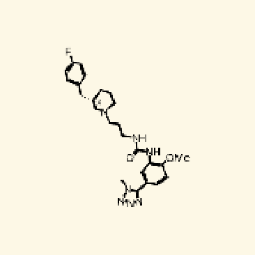 COc1ccc(-c2nnnn2C)cc1NC(=O)NCCCN1CCC[C@@H](Cc2ccc(F)cc2)C1